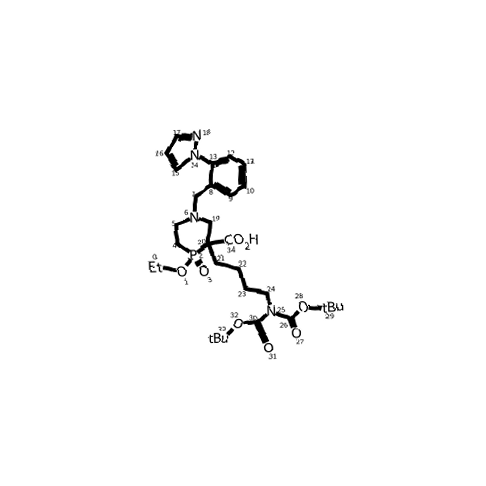 CCOP1(=O)CCN(Cc2ccccc2-n2cccn2)CC1(CCCCN(C(=O)OC(C)(C)C)C(=O)OC(C)(C)C)C(=O)O